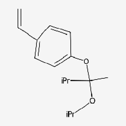 C=Cc1ccc(OC(C)(OC(C)C)C(C)C)cc1